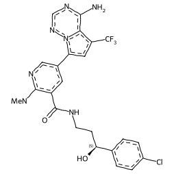 CNc1ncc(-c2cc(C(F)(F)F)c3c(N)ncnn23)cc1C(=O)NCC[C@H](O)c1ccc(Cl)cc1